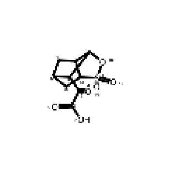 O=C(O)C(=O)C1C2CC3C1OS(=O)(=O)C3C2